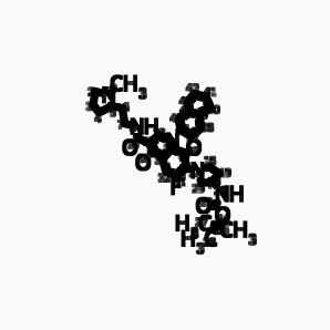 CN1CCCC1CCNC(=O)c1cn2c3c(c(N4CC[C@@H](NC(=O)OC(C)(C)C)C4)c(F)cc3c1=O)Oc1cc3ccccc3cc1-2